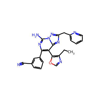 CCc1ncoc1-c1c(-c2cccc(C#N)c2)nc(N)n2nc(Cc3ccccn3)nc12